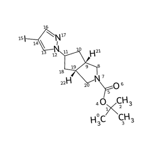 CC(C)(C)OC(=O)N1C[C@H]2CC(n3cc(I)cn3)C[C@H]2C1